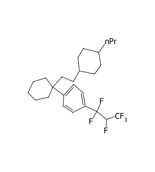 CCCC1CCC(CCC2(c3ccc(C(F)(F)C(F)C(F)(F)F)cc3)CCCCC2)CC1